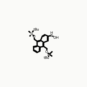 CC(C)(C)[Si](C)(C)OCc1c2ccccc2c(CO[Si](C)(C)C(C)(C)C)c2cc(BO)ccc12